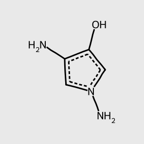 Nc1cn(N)cc1O